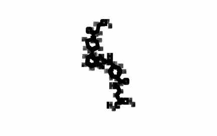 CN(C)CCNC(=O)c1ccc(Nc2nc3c(C4=CCN(C(=O)CCC(F)(F)F)CC4)cccn3n2)cc1